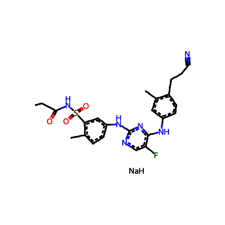 CCC(=O)NS(=O)(=O)c1cc(Nc2ncc(F)c(Nc3ccc(CCC#N)c(C)c3)n2)ccc1C.[NaH]